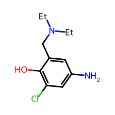 CCN(CC)Cc1cc(N)cc(Cl)c1O